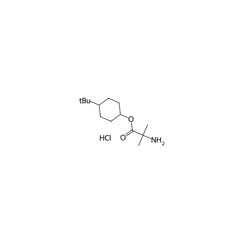 CC(C)(N)C(=O)OC1CCC(C(C)(C)C)CC1.Cl